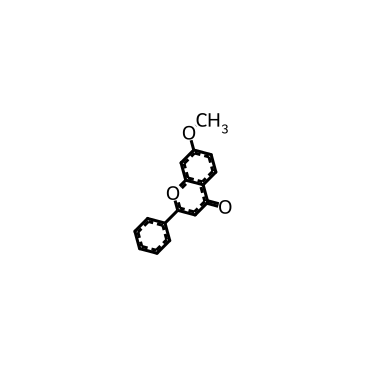 COc1ccc2c(=O)cc(-c3ccccc3)oc2c1